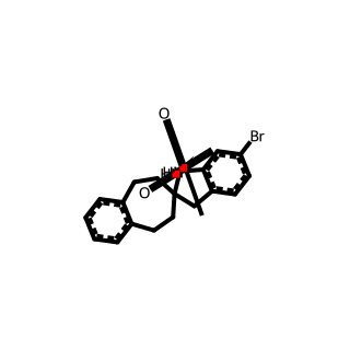 O=C1NC(=O)C2(N1)c1cc(Br)ccc1CC21CCc2ccccc2CC1